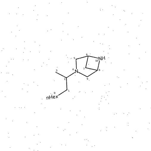 CCCCCCCC(C)N1CC2CC(C1)N2